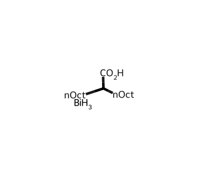 CCCCCCCCC(CCCCCCCC)C(=O)O.[BiH3]